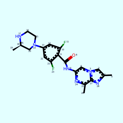 Cc1cn2cc(NC(=O)c3c(F)cc(N4CCN[C@H](C)C4)cc3F)nc(C)c2n1